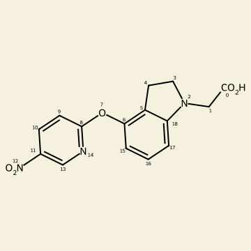 O=C(O)CN1CCc2c(Oc3ccc([N+](=O)[O-])cn3)cccc21